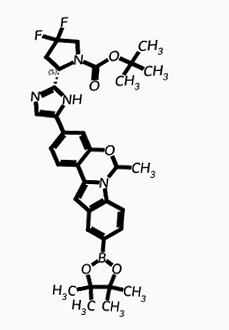 CC1Oc2cc(-c3cnc([C@@H]4CC(F)(F)CN4C(=O)OC(C)(C)C)[nH]3)ccc2-c2cc3cc(B4OC(C)(C)C(C)(C)O4)ccc3n21